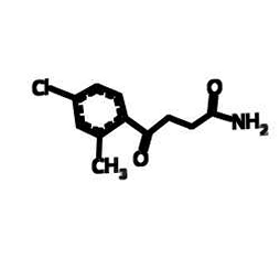 Cc1cc(Cl)ccc1C(=O)CCC(N)=O